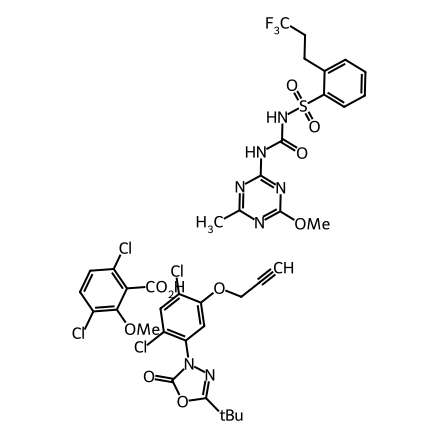 C#CCOc1cc(-n2nc(C(C)(C)C)oc2=O)c(Cl)cc1Cl.COc1c(Cl)ccc(Cl)c1C(=O)O.COc1nc(C)nc(NC(=O)NS(=O)(=O)c2ccccc2CCC(F)(F)F)n1